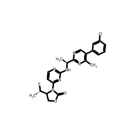 Cc1nc([C@H](C)Nc2nccc(N3C(=O)OCC3[C@H](C)F)n2)ncc1-c1cccc(Cl)c1